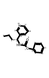 CCC[C@@H](NC(=O)Oc1ccccc1)c1cccnc1